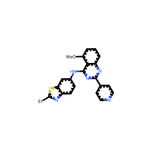 CCc1nc2ccc(Nc3nc(-c4ccncc4)nc4cccc(OC)c34)cc2s1